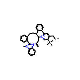 C=C1CC2C(CCc3ccccc3-c3n(C)c4ccccc4[n+]31)c1ccccc1-c1cc(CC(C)C)c([Si](C)(C)C)c[n+]12